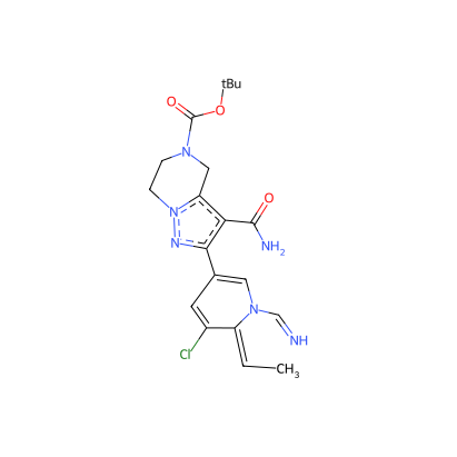 C/C=C1/C(Cl)=CC(c2nn3c(c2C(N)=O)CN(C(=O)OC(C)(C)C)CC3)=CN1C=N